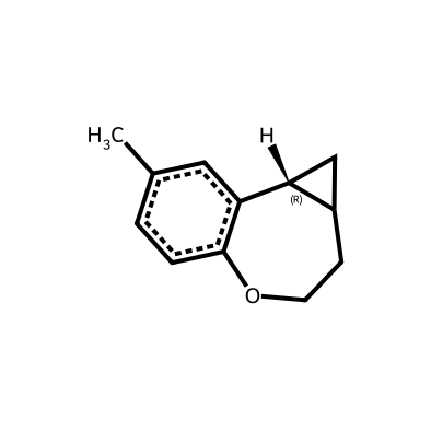 Cc1ccc2c(c1)[C@@H]1CC1CCO2